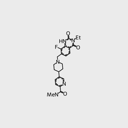 CCn1c(=O)[nH]c2c(F)c(CN3CCC(c4ccc(C(=O)NC)nc4)CC3)ccc2c1=O